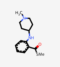 CSC(=O)c1ccccc1NC1CCN(C)CC1